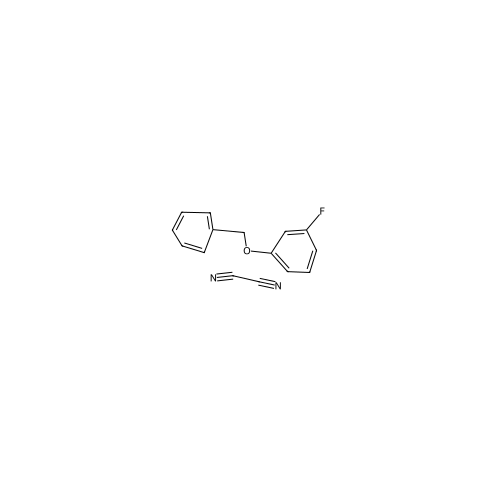 Fc1cccc(OCc2ccccc2)c1.N#CC#N